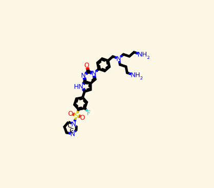 NCCCN(CCCN)Cc1ccc(-n2cc3cc(-c4ccc(S(=O)(=O)N5CCN6CCC5CC6)c(F)c4)[nH]c3nc2=O)cc1